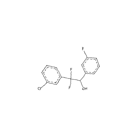 OC(c1cccc(F)c1)C(F)(F)c1cccc(Cl)c1